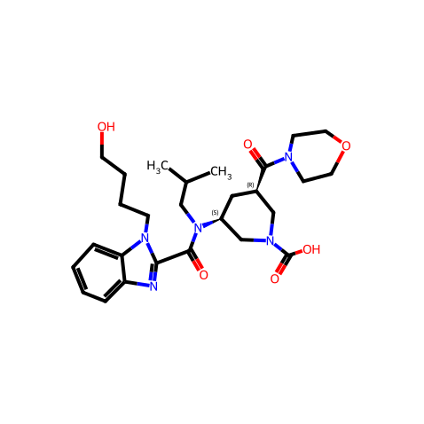 CC(C)CN(C(=O)c1nc2ccccc2n1CCCCO)[C@H]1C[C@@H](C(=O)N2CCOCC2)CN(C(=O)O)C1